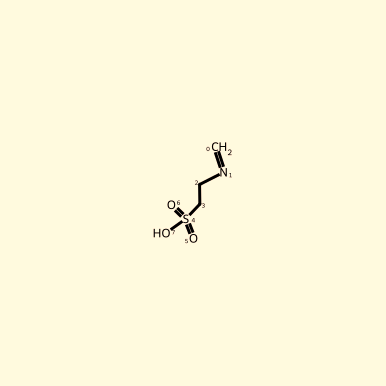 C=NCCS(=O)(=O)O